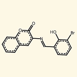 O=c1oc2ccccc2cc1N=Cc1cccc(Br)c1O